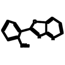 CSc1ccccc1-c1nc2ncccc2o1